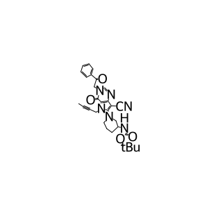 CC#CCn1c(N2CCCC(NC(=O)OC(C)(C)C)C2)c(C#N)c2ncn(CC(=O)c3ccccc3)c(=O)c21